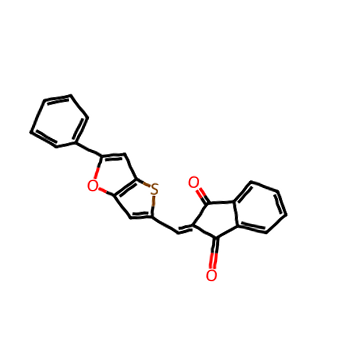 O=C1C(=Cc2cc3oc(-c4ccccc4)cc3s2)C(=O)c2ccccc21